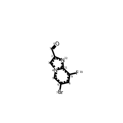 O=Cc1cn2cc(Br)cc(F)c2n1